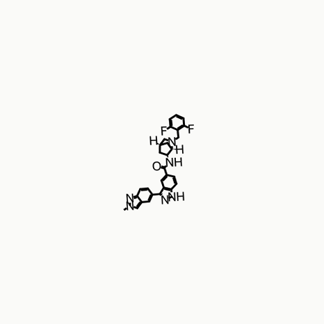 Cn1cc2cc(-c3n[nH]c4ccc(C(=O)N[C@@H]5C[C@@H]6C[C@H]5N(Cc5c(F)cccc5F)C6)cc34)ccc2n1